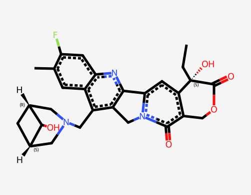 CC[C@@]1(O)C(=O)OCc2c1cc1n(c2=O)Cc2c-1nc1cc(F)c(C)cc1c2CN1C[C@H]2C[C@@H](C1)C2O